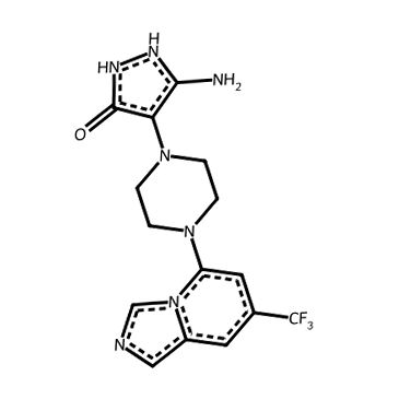 Nc1[nH][nH]c(=O)c1N1CCN(c2cc(C(F)(F)F)cc3cncn23)CC1